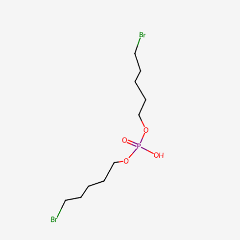 O=P(O)(OCCCCCBr)OCCCCCBr